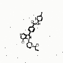 C=CC(=O)N1CCCC(n2nc(-c3ccc(C(=O)Nc4ccc(F)cn4)cc3)c3cncc(Cl)c32)C1